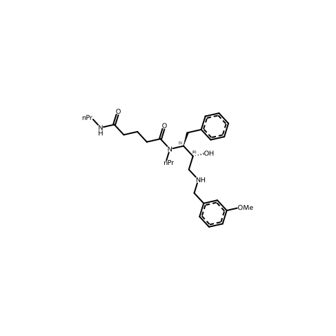 CCCNC(=O)CCCC(=O)N(CCC)[C@@H](Cc1ccccc1)[C@H](O)CNCc1cccc(OC)c1